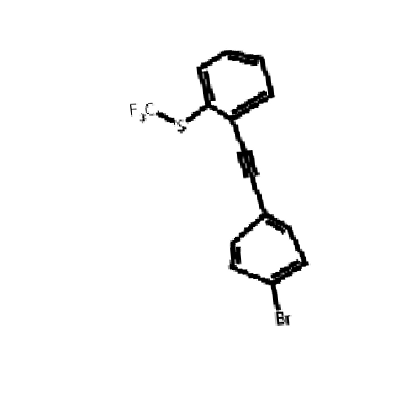 FC(F)(F)Sc1ccccc1C#Cc1ccc(Br)cc1